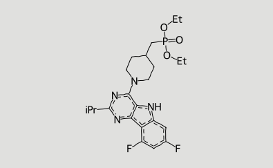 CCOP(=O)(CC1CCN(c2nc(C(C)C)nc3c2[nH]c2cc(F)cc(F)c23)CC1)OCC